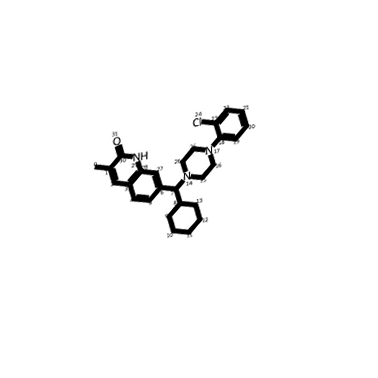 Cc1cc2ccc(C(C3CCCCC3)N3CCN(c4ccccc4Cl)CC3)cc2[nH]c1=O